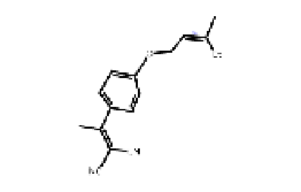 CC/C(C)=C\COc1ccc(C(C)=C(C#N)C#N)cc1